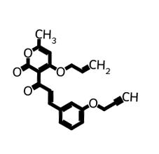 C#CCOc1cccc(C=CC(=O)c2c(OCC=C)cc(C)oc2=O)c1